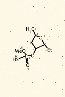 CCC1OC(C)CC1OP(=O)(S)OC